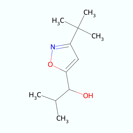 CC(C)C(O)c1cc(C(C)(C)C)no1